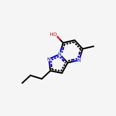 CCCc1cc2nc(C)cc(O)n2n1